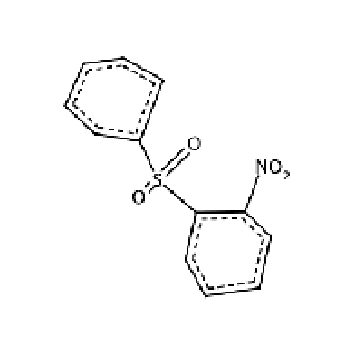 O=[N+]([O-])c1ccccc1S(=O)(=O)c1ccccc1